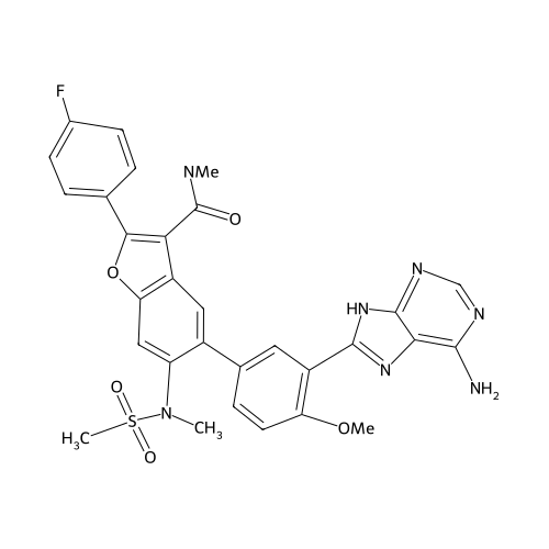 CNC(=O)c1c(-c2ccc(F)cc2)oc2cc(N(C)S(C)(=O)=O)c(-c3ccc(OC)c(-c4nc5c(N)ncnc5[nH]4)c3)cc12